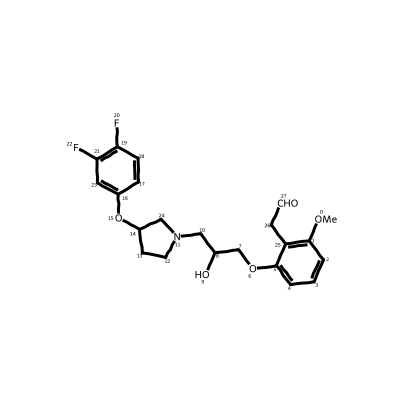 COc1cccc(OCC(O)CN2CCC(Oc3ccc(F)c(F)c3)C2)c1CC=O